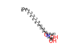 CC(C)CCCCCCCCCCCCCCCON(CCO)CC(C)O